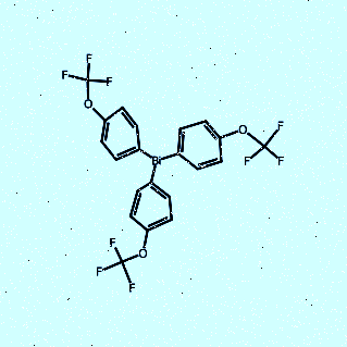 FC(F)(F)Oc1cc[c]([Bi]([c]2ccc(OC(F)(F)F)cc2)[c]2ccc(OC(F)(F)F)cc2)cc1